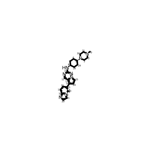 CN1CCN([C@H]2CC[C@H](Nc3ncc4c(-c5ccc6nccn6n5)ccn4n3)CC2)CC1